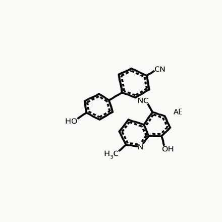 Cc1ccc2c(C#N)ccc(O)c2n1.N#Cc1ccc(-c2ccc(O)cc2)cc1.[Al]